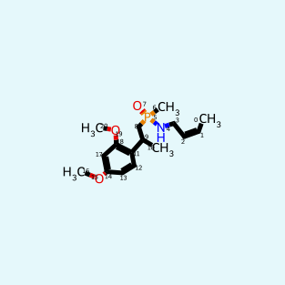 C/C=C\CNP(C)(=O)CC(C)c1ccc(OC)cc1OC